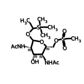 CC(=O)N[C@H]1[C@H](O)[C@H](NC(C)=O)C(OC(C)[Si](C)(C)C)O[C@@H]1COS(C)(=O)=O